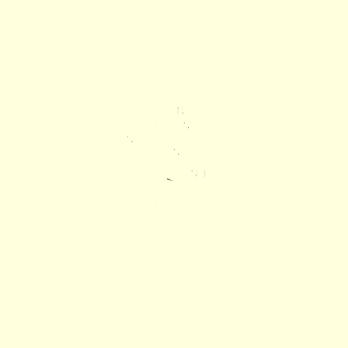 C[C@@H](Nc1ccn2ncc(C#N)c2n1)c1cc(F)cc(F)c1F